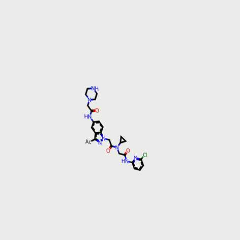 CC(=O)c1nn(CC(=O)N(CC(=O)Nc2cccc(Cl)n2)C2CC2)c2ccc(NC(=O)CN3CCNCC3)cc12